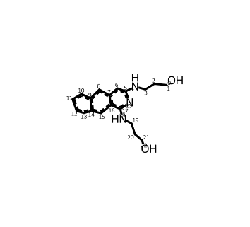 OCCCNc1cc2cc3ccccc3cc2c(NCCCO)n1